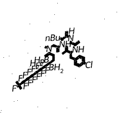 BC(B)(CCC(=C)N(C)CC(=C)NC(CCCC)C(=C)NCC(=C)NC(Cc1ccc(Cl)cc1)C(=C)C)C(F)(P)C(F)(F)C(F)(F)C(F)(F)C(F)(F)C(F)(F)C(C)(C)F